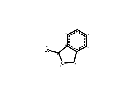 CCC1OCc2ccccc21